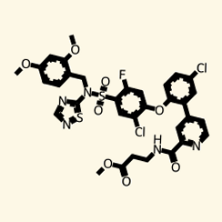 COC(=O)CCNC(=O)c1cc(-c2cc(Cl)ccc2Oc2cc(F)c(S(=O)(=O)N(Cc3ccc(OC)cc3OC)c3ncns3)cc2Cl)ccn1